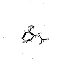 CC(C)Sc1cnccc1Br